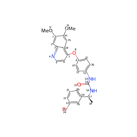 COc1cc2nccc(Oc3ccc(NC(=O)N[C@@H](C)c4cccc(Br)c4)cc3)c2cc1OC